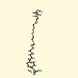 CC(=O)NNCCOCCOCCOCCOCCOCCOC1CCN(C(C)C)CC1